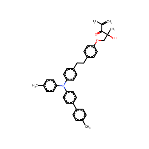 C=C(C)C(=O)C(C)(O)COc1ccc(CCc2ccc(N(c3ccc(C)cc3)c3ccc(-c4ccc(C)cc4)cc3)cc2)cc1